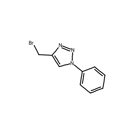 BrCc1cn(-c2ccccc2)nn1